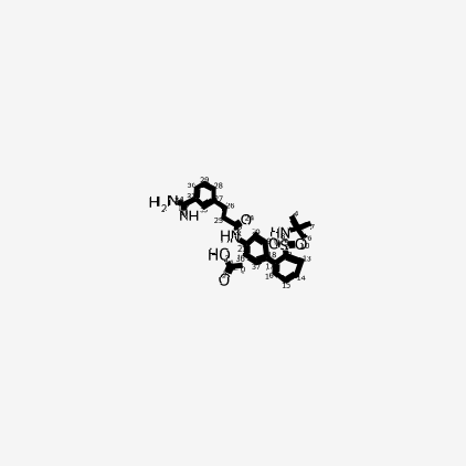 CC(=O)O.CC(C)(C)NS(=O)(=O)c1ccccc1-c1ccc(NC(=O)CCc2cccc(C(=N)N)c2)cc1